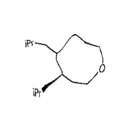 CC(C)C1CCOC[C@H]1C(C)C